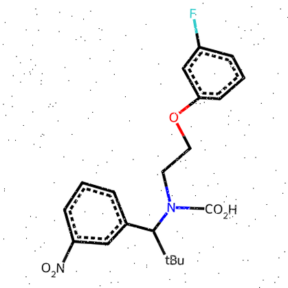 CC(C)(C)C(c1cccc([N+](=O)[O-])c1)N(CCOc1cccc(F)c1)C(=O)O